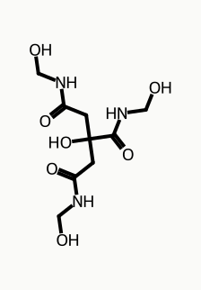 O=C(CC(O)(CC(=O)NCO)C(=O)NCO)NCO